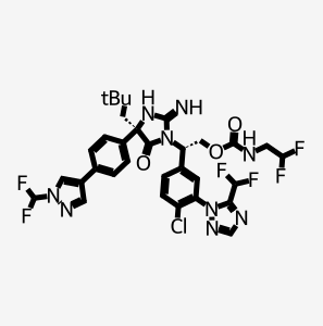 CC(C)(C)C[C@]1(c2ccc(-c3cnn(C(F)F)c3)cc2)NC(=N)N([C@H](COC(=O)NCC(F)F)c2ccc(Cl)c(-n3ncnc3C(F)F)c2)C1=O